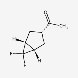 CC(=O)[C@H]1C[C@@H]2[C@H](C1)C2(F)F